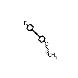 COCCOc1ccc(C#Cc2ccc(F)cc2)cc1